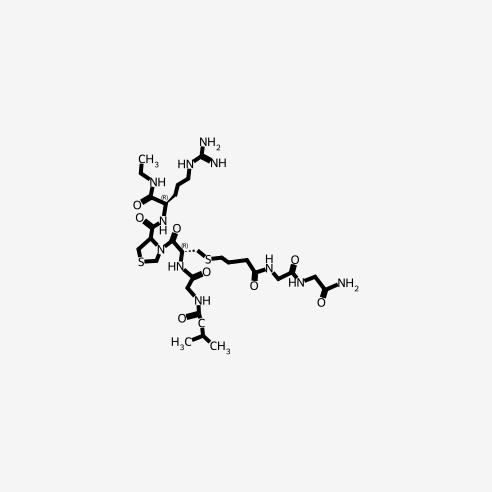 CCNC(=O)[C@@H](CCCNC(=N)N)NC(=O)C1CSCN1C(=O)[C@H](CSCCCC(=O)NCC(=O)NCC(N)=O)NC(=O)CNC(=O)CC(C)C